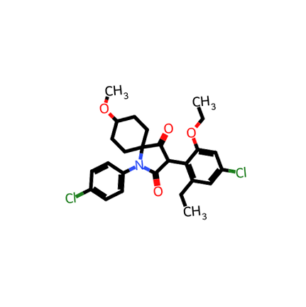 CCOc1cc(Cl)cc(CC)c1C1C(=O)N(c2ccc(Cl)cc2)C2(CCC(OC)CC2)C1=O